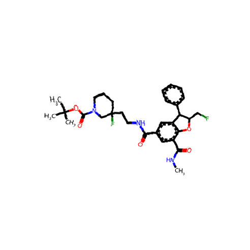 CNC(=O)c1cc(C(=O)NCCC2(F)CCCN(C(=O)OC(C)(C)C)C2)cc2c1OC(CF)C2c1ccccc1